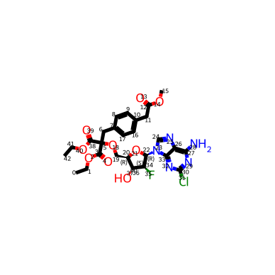 CCOC(=O)C(Cc1ccc(CC(=O)OC)cc1)(OC[C@H]1O[C@@H](n2cnc3c(N)nc(Cl)nc32)[C@@H](F)[C@@H]1O)C(=O)OCC